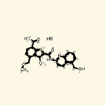 Br.COCc1ccc(C(C)=O)c2sc(C(=O)Nc3ccc4c(CO)cccc4n3)c(C)c12